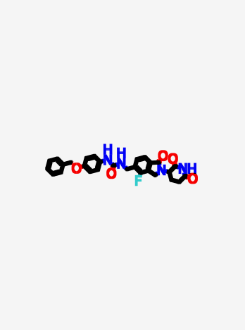 O=C1CCC(N2Cc3c(ccc(CNC(=O)Nc4ccc(OCc5ccccc5)cc4)c3F)C2=O)C(=O)N1